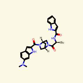 CN(C)c1ccc2cc(C(=O)N3C[C@@H]4C[C@H]3CN4C(=O)[C@@H](NC(=O)c3cc4ccccc4[nH]3)C(C)(C)C)[nH]c2c1